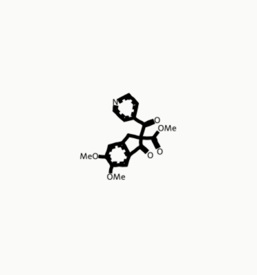 COC(=O)C1(C(=O)c2ccncc2)Cc2cc(OC)c(OC)cc2C1=O